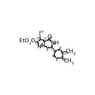 CCOC(=O)c1nn2cc(-c3ccc(C)c(C)c3)[nH]c(=O)c2c1I